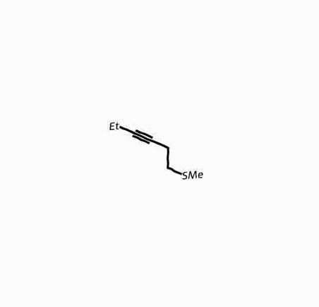 [CH2]CC#CCCSC